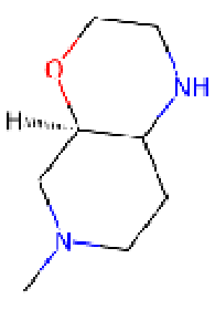 CN1CCC2NCCO[C@@H]2C1